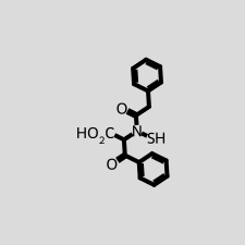 O=C(O)C(C(=O)c1ccccc1)N(S)C(=O)Cc1ccccc1